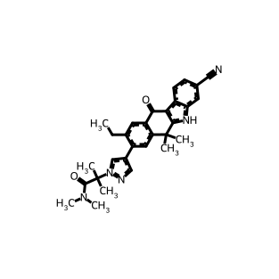 CCc1cc2c(cc1-c1cnn(C(C)(C)C(=O)N(C)C)c1)C(C)(C)c1[nH]c3cc(C#N)ccc3c1C2=O